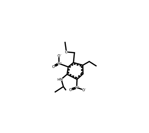 CCc1cc([N+](=O)[O-])c(NC(C)C)c([N+](=O)[O-])c1COC